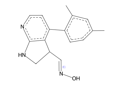 Cc1ccc(-c2ccnc3c2C(/C=N/O)CN3)c(C)c1